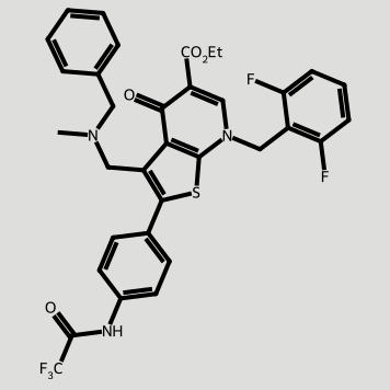 CCOC(=O)c1cn(Cc2c(F)cccc2F)c2sc(-c3ccc(NC(=O)C(F)(F)F)cc3)c(CN(C)Cc3ccccc3)c2c1=O